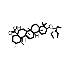 CC[Si](CC)(CC)O[C@H]1CC[C@@]2(C)C(CC[C@]3(C)[C@@H]2CC=C2[C@@H]4[C@@H](C)[C@H](C)CC[C@]4(C(=O)O)CC[C@]23C)C1(C)C